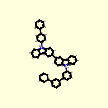 C1=CCC(c2cccc(-c3cccc(-n4c5ccccc5c5cc(-c6ccc7c(c6)c6ccccc6n7-c6ccc(-c7ccccc7)cc6)ccc54)c3)c2)C=C1